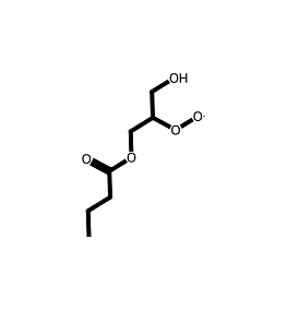 CCCC(=O)OCC(CO)O[O]